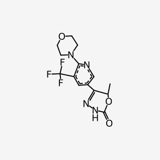 CC1OC(=O)NN=C1c1cnc(N2CCOCC2)c(C(F)(F)F)c1